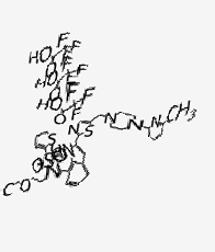 CCOCCN(c1cccc2cc(-c3ncc(CN4CCN(c5cccc(C)n5)CC4)s3)[nH]c12)S(=O)(=O)c1cccs1.O=C(O)C(F)(F)F.O=C(O)C(F)(F)F.O=C(O)C(F)(F)F